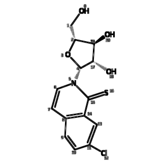 OC[C@H]1O[C@@H](n2ccc3ccc(Cl)cc3c2=S)[C@@H](O)[C@@H]1O